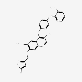 COc1cc2c(Nc3ccc(Oc4ccccc4OC)cc3)c(C#N)cnc2cc1OCc1cc(C)on1